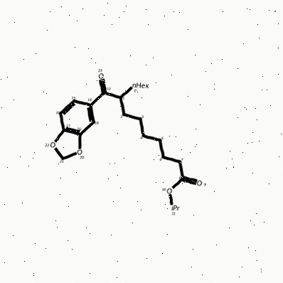 CCCCCCC(CCCCCCC(=O)OC(C)C)C(=O)c1ccc2c(c1)OCO2